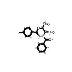 Cc1ccc(C(=O)OC(C=O)C(C=O)OC(=O)c2ccccc2)cc1